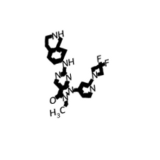 CCn1c(=O)c2cnc(Nc3ccc4c(c3)CNCC4)nc2n1-c1ccnc(N2CC(F)(F)C2)c1